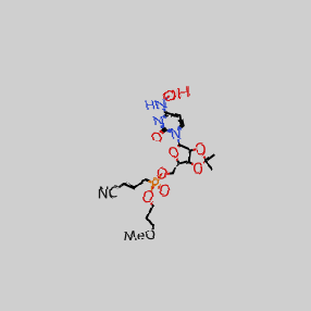 COCCCOP(=O)(CCCC#N)OC[C@H]1O[C@@H](n2ccc(NO)nc2=O)C2OC(C)(C)OC21